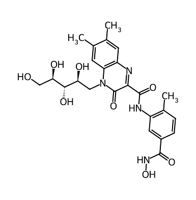 Cc1cc2nc(C(=O)Nc3cc(C(=O)NO)ccc3C)c(=O)n(C[C@H](O)[C@H](O)[C@H](O)CO)c2cc1C